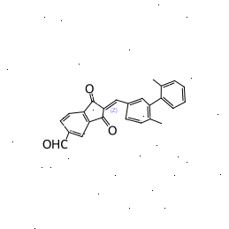 Cc1ccccc1-c1cc(/C=C2/C(=O)c3ccc(C=O)cc3C2=O)ccc1C